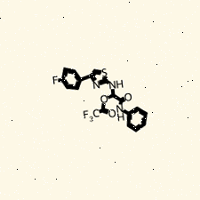 O=C(Nc1ccccc1)C(Nc1nc(-c2ccc(F)cc2)cs1)OC(=O)C(F)(F)F